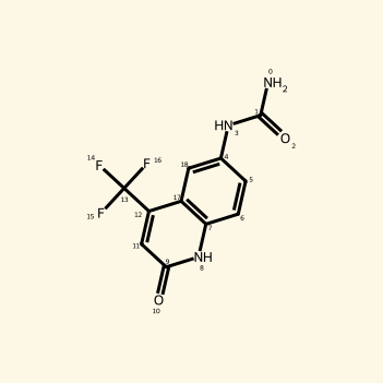 NC(=O)Nc1ccc2[nH]c(=O)cc(C(F)(F)F)c2c1